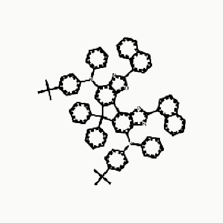 CC(C)(C)c1ccc(N(c2ccccc2)c2cc3c(c4oc(-c5cccc6ccccc56)nc24)-c2c(cc(N(c4ccccc4)c4ccc(C(C)(C)C)cc4)c4nc(-c5cccc6ccccc56)oc24)C3(c2ccccc2)c2ccccc2)cc1